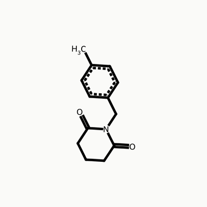 Cc1ccc(CN2C(=O)CCCC2=O)cc1